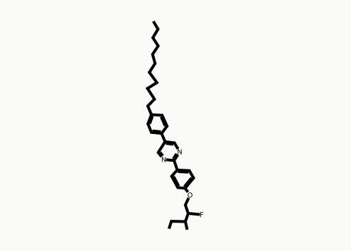 CCCCCCCCCCCc1ccc(-c2cnc(-c3ccc(OCC(F)C(C)CC)cc3)nc2)cc1